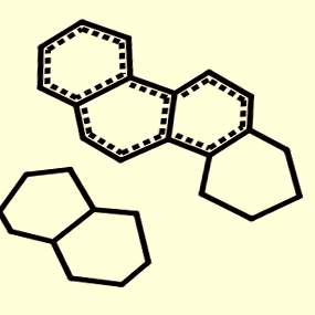 C1CCC2CCCCC2C1.c1ccc2c(c1)ccc1c3c(ccc12)CCCC3